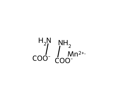 NC(=O)[O-].NC(=O)[O-].[Mn+2]